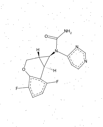 NC(=O)N(c1ccncn1)[C@@H]1[C@H]2COc3c(F)ccc(F)c3[C@@H]21